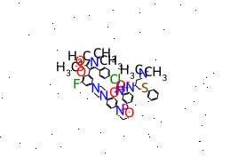 Cc1c(S(C)(=O)=O)c(-c2cc(F)cc(N3CCN(c4ccc(N5CCCOP5c5ccc(NC(CCN(C)C)CSc6ccccc6)c([N+](=O)[O-])c5)cc4)CC3)c2)c(-c2ccc(Cl)cc2)n1C(C)C